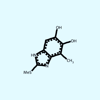 [CH2]Sc1nc2c(C)c(O)c(O)cc2[nH]1